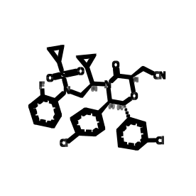 N#CC[C@H]1O[C@H](c2cccc(Cl)c2)[C@@H](c2ccc(Cl)cc2)N([C@@H](CN(c2ccccc2F)S(=O)(=O)C2CC2)C2CC2)C1=O